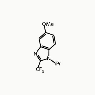 COc1ccc2c(c1)nc(C(F)(F)F)n2C(C)C